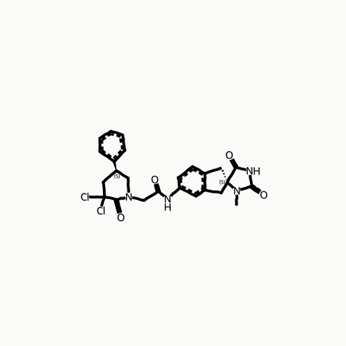 CN1C(=O)NC(=O)[C@@]12Cc1ccc(NC(=O)CN3C[C@H](c4ccccc4)CC(Cl)(Cl)C3=O)cc1C2